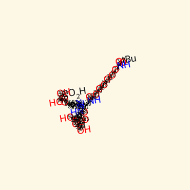 CC(C)(C)OC(=O)NCCOCCOCCOCCOCCOCCOCCC(=O)NCCCC[C@@H](C(=O)Nc1ccc2c(c1)C(=O)OC21c2ccc(O)cc2Oc2cc(O)ccc21)n1cc(-c2ccc(CCO[C@@H]3O[C@H](C(=O)O)[C@@H](O)CC3O)cc2)nn1